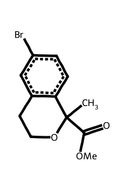 COC(=O)C1(C)OCCc2cc(Br)ccc21